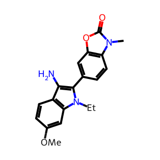 CCn1c(-c2ccc3c(c2)oc(=O)n3C)c(N)c2ccc(OC)cc21